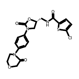 O=C(NC[C@@H]1CN(c2ccc(N3CCOCC3=O)cc2)C(=O)O1)c1ccc(Cl)s1